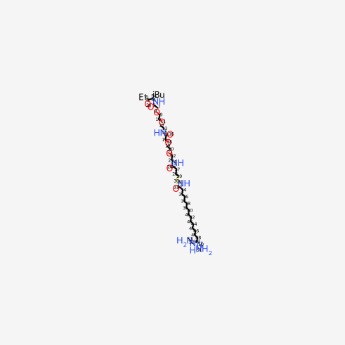 CCC(=O)[C@@H](NC(=O)COCCOCCNC(=O)COCCOCCNC(=O)CCCSNC(=O)CCCCCCCCCCCCCCC/C(=N/N)NN)[C@@H](C)CC